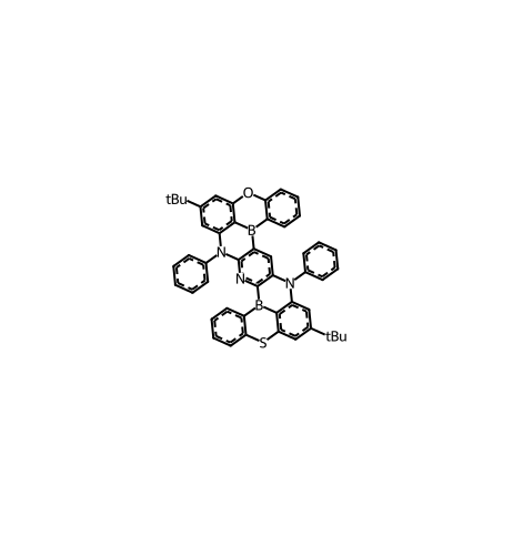 CC(C)(C)c1cc2c3c(c1)N(c1ccccc1)c1nc4c(cc1B3c1ccccc1O2)N(c1ccccc1)c1cc(C(C)(C)C)cc2c1B4c1ccccc1S2